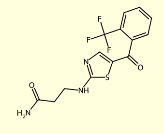 NC(=O)CCNc1ncc(C(=O)c2ccccc2C(F)(F)F)s1